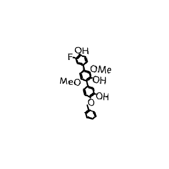 COc1cc(-c2ccc(O)c(F)c2)c(OC)c(O)c1-c1ccc(OCc2ccccc2)c(O)c1